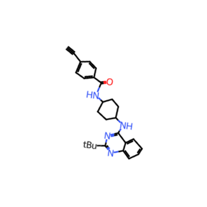 C#Cc1ccc(C(=O)NC2CCC(Nc3nc(C(C)(C)C)nc4ccccc34)CC2)cc1